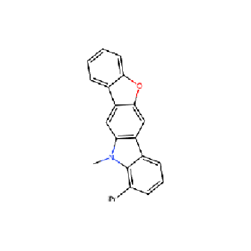 CC(C)c1cccc2c3cc4oc5ccccc5c4cc3n(C)c12